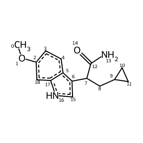 COc1ccc2c(C(CC3CC3)C(N)=O)c[nH]c2c1